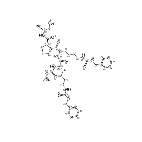 CC(C)[C@@H](CO)NC(=O)[C@@H]1CCCN1C(=O)[C@H](CCCCNC(=O)OCc1ccccc1)NC(=O)[C@H](CCCCNC(=O)OCc1ccccc1)NC(=O)OC(C)(C)C